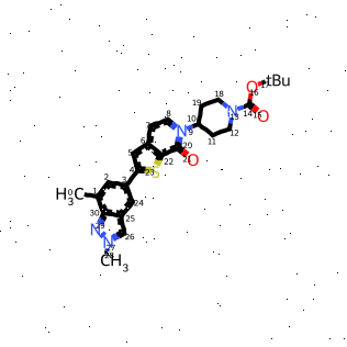 Cc1cc(-c2cc3ccn(C4CCN(C(=O)OC(C)(C)C)CC4)c(=O)c3s2)cc2cn(C)nc12